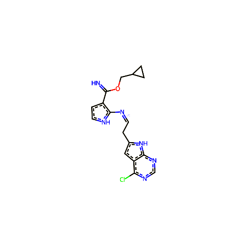 N=C(OCC1CC1)c1cc[nH]c1/N=C\Cc1cc2c(Cl)ncnc2[nH]1